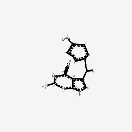 CC(c1ccc([C]=O)cc1)c1c[nH]c2nc(N)[nH]c(=O)c12